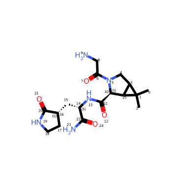 CC1(C)C2CN(C(=O)CN)[C@H](C(=O)N[C@@H](C[C@@H]3CCNC3=O)C(N)=O)C21